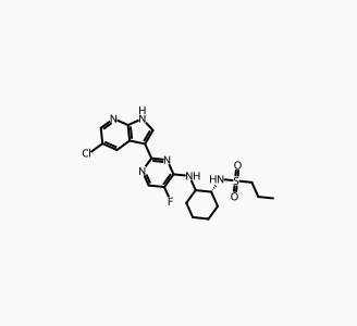 CCCS(=O)(=O)N[C@@H]1CCCCC1Nc1nc(-c2c[nH]c3ncc(Cl)cc23)ncc1F